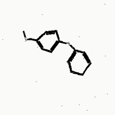 CSc1ccc(SC2=CCCC=C2)cc1